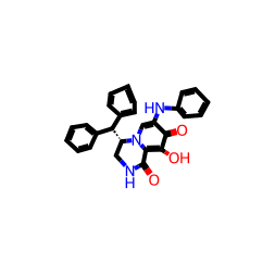 O=C1NC[C@H](C(c2ccccc2)c2ccccc2)n2cc(Nc3ccccc3)c(=O)c(O)c21